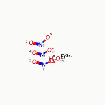 O.O=N[O-].O=N[O-].O=N[O-].[Er+3]